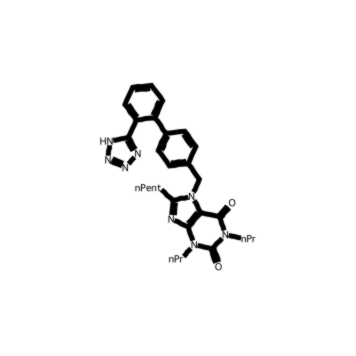 CCCCCc1nc2c(c(=O)n(CCC)c(=O)n2CCC)n1Cc1ccc(-c2ccccc2-c2nnn[nH]2)cc1